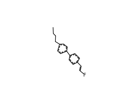 CCCCc1ccc(-c2ccc(C=CF)cc2)cc1